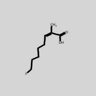 CC(=CCCCCCF)C(=O)O